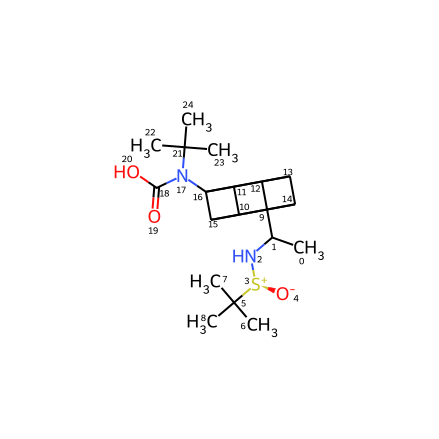 CC(N[S@@+]([O-])C(C)(C)C)C12C3C4C1C1C2C3C41N(C(=O)O)C(C)(C)C